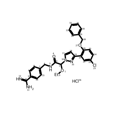 CCOC(C(=O)NCc1ccc(C(=N)N)cc1)n1ccc(-c2cc(Cl)ccc2OCc2ccccc2)n1.Cl